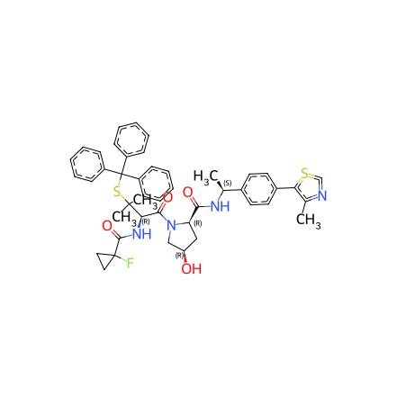 Cc1ncsc1-c1ccc([C@H](C)NC(=O)[C@H]2C[C@@H](O)CN2C(=O)[C@@H](NC(=O)C2(F)CC2)C(C)(C)SC(c2ccccc2)(c2ccccc2)c2ccccc2)cc1